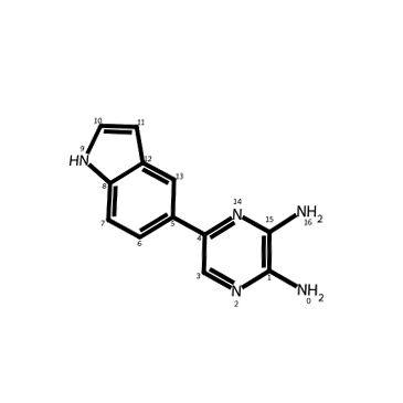 Nc1ncc(-c2ccc3[nH]ccc3c2)nc1N